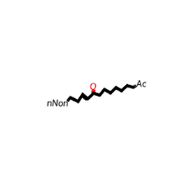 CCCCCCCCCCCC=CC(=O)CCCCCCCC(C)=O